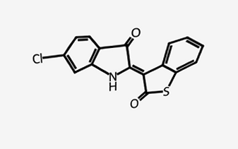 O=C1Sc2ccccc2/C1=C1/Nc2cc(Cl)ccc2C1=O